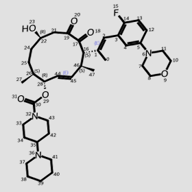 C/C(=C\c1cc(N2CCOCC2)ccc1F)[C@H]1C(=O)C(=O)C[C@H](O)CC[C@H](C)[C@@H](OC(=O)N2CCC(N3CCCCC3)CC2)/C=C/[C@@H]1C